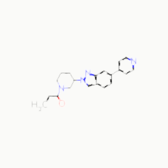 C=CC(=O)N1CCCC(n2cc3ccc(-c4ccncc4)cc3n2)C1